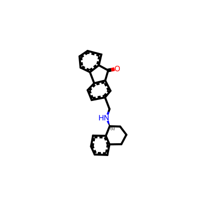 O=C1c2ccccc2-c2ccc(CN[C@H]3CCCc4ccccc43)cc21